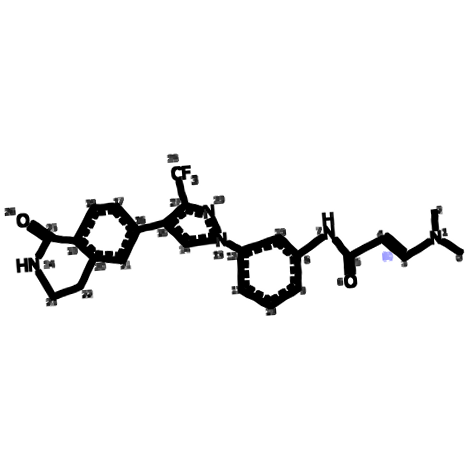 CN(C)/C=C/C(=O)Nc1cccc(-n2cc(-c3ccc4c(c3)CCNC4=O)c(C(F)(F)F)n2)c1